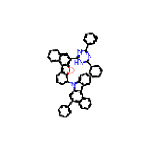 c1ccc(C2=NC(c3ccccc3)NC(c3cc4ccccc4c4c3oc3c(-n5c6ccccc6c6c7ccccc7c(-c7ccccc7)cc65)cccc34)=N2)cc1